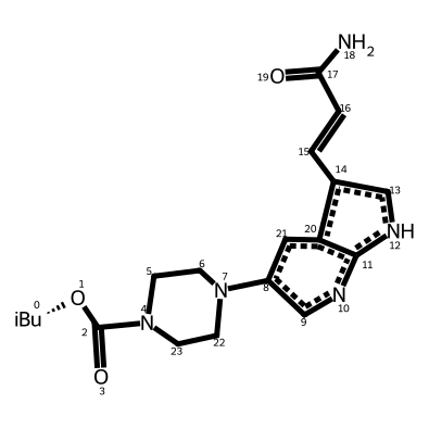 CC[C@@H](C)OC(=O)N1CCN(c2cnc3[nH]cc(/C=C/C(N)=O)c3c2)CC1